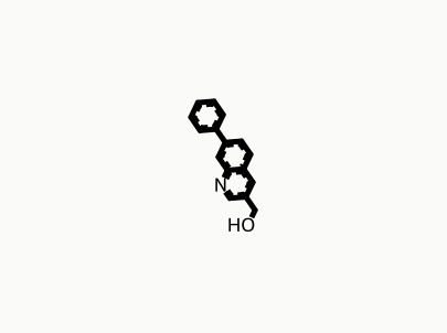 OCc1cnc2cc(-c3ccccc3)ccc2c1